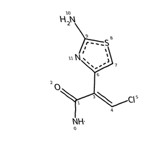 [NH]C(=O)/C(=C/Cl)c1csc(N)n1